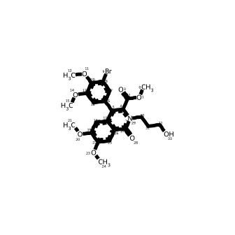 COC(=O)c1c(-c2cc(Br)c(OC)c(OC)c2)c2cc(OC)c(OC)cc2c(=O)n1CCCO